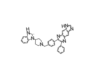 [CH]1Nc2ccccc2N1C1CCN(Cc2ccc(-c3nc4cc5[nH]cnc5cc4nc3-c3ccccc3)cc2)CC1